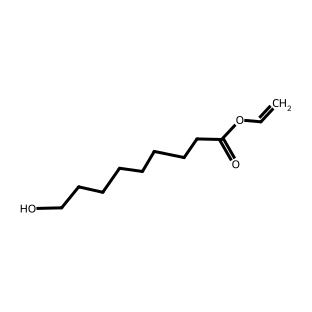 C=COC(=O)CCCCCCCCO